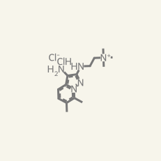 Cc1ccc2c(N)c(NCC[N+](C)(C)C)nn2c1C.Cl.[Cl-]